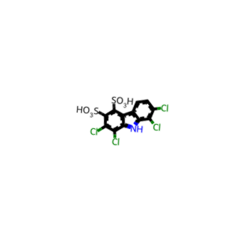 O=S(=O)(O)c1c(Cl)c(Cl)c2[nH]c3c(Cl)c(Cl)ccc3c2c1S(=O)(=O)O